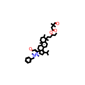 CCC(CCC1(C)C(C)CCC2(C)C1CCC1C3=C(C(C)C)CCC3(/C(=C/C=O)N(C)N(C)Cc3ccccc3)CC[C@]12C)OC(=O)CC(C)(C)C=O